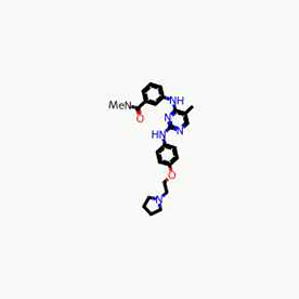 CNC(=O)c1cccc(Nc2nc(Nc3ccc(OCCN4CCCC4)cc3)ncc2C)c1